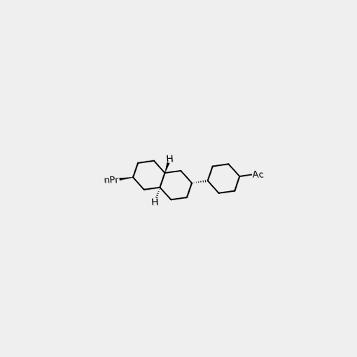 CCC[C@H]1CC[C@@H]2C[C@H](C3CCC(C(C)=O)CC3)CC[C@H]2C1